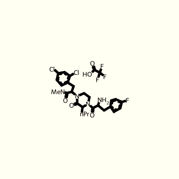 CCCC1C(=O)N(C(Cc2ccc(Cl)cc2Cl)C(=O)NC)CCN1C(=O)C(N)Cc1ccc(F)cc1.O=C(O)C(F)(F)F